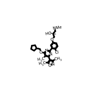 CNC[C@@H](O)COc1ccc(Cl)c(-c2nc(OCC3CCCC3)c(C)c(-c3c(C)noc3C)n2)c1